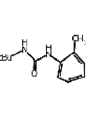 Cc1ccccc1NC(=O)NC(C)(C)C